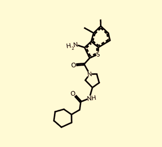 Cc1ccc2sc(C(=O)N3CCC(NC(=O)CC4CCCCC4)C3)c(N)c2c1C